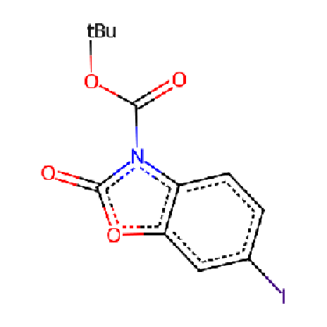 CC(C)(C)OC(=O)n1c(=O)oc2cc(I)ccc21